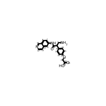 NCC(C(=O)Nc1ccc2cnccc2c1)c1ccc(OCC(=O)O)cc1